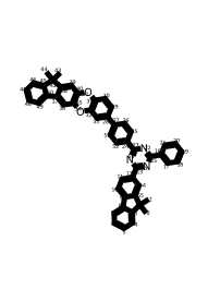 CC1(C)c2ccccc2-c2ccc(-c3nc(-c4ccccc4)nc(-c4ccc(-c5ccc6c(c5)Oc5cc7c(cc5O6)C(C)(C)c5ccccc5-7)cc4)n3)cc21